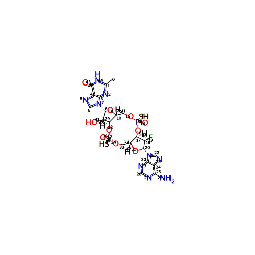 Cc1nc2c(ncn2[C@@H]2O[C@@H]3CO[P@](=O)(S)O[C@H]4[C@@H](F)[C@H](n5cnc6c(N)ncnc65)O[C@@H]4CO[P@@](=O)(S)O[C@H]3[C@H]2O)c(=O)[nH]1